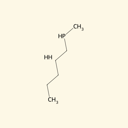 CCCCCPC.[HH]